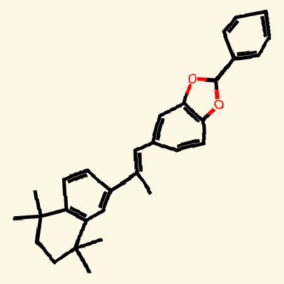 CC(=Cc1ccc2c(c1)OC(c1ccccc1)O2)c1ccc2c(c1)C(C)(C)CCC2(C)C